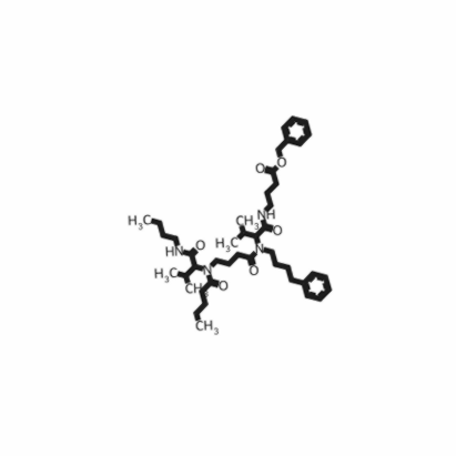 CCCCNC(=O)C(C(C)C)N(CCCC(=O)N(CCCCc1ccccc1)C(C(=O)NCCCC(=O)OCc1ccccc1)C(C)C)C(=O)CCCC